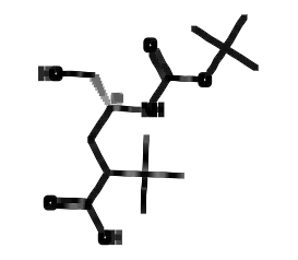 CC(C)(C)OC(=O)N[C@@H](CO)CC(C(=O)O)C(C)(C)C